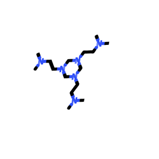 CN(C)CCN1CN(CCN(C)C)CN(CCN(C)C)C1